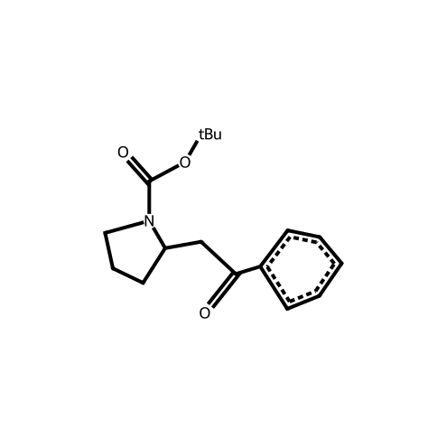 CC(C)(C)OC(=O)N1CCCC1CC(=O)c1ccccc1